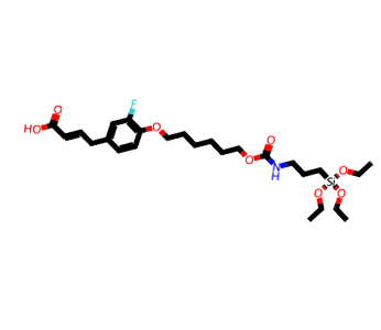 CCO[Si](CCCNC(=O)OCCCCCCOc1ccc(CC=CC(=O)O)cc1F)(OCC)OCC